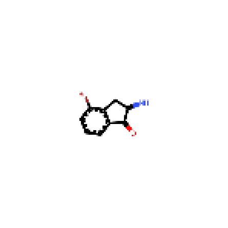 N=C1Cc2c(Br)cccc2C1=O